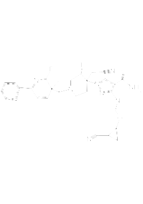 CC1(CN2CCC(CC#N)(n3cc(C(N)=O)c(NCOC4CC4C#N)n3)C(F)C2)C=CC(c2ccccc2)=NC1F